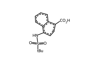 CC(C)(C)S(=O)(=O)Nc1ccc(C(=O)O)c2ccccc12